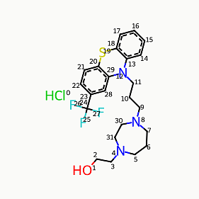 Cl.OCCN1CCCN(CCCN2c3ccccc3Sc3ccc(C(F)(F)F)cc32)CC1